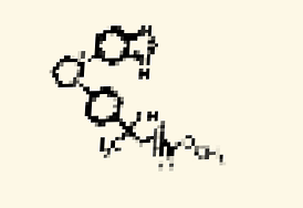 COC(=O)NCC(C)(C)c1ccc(N2CCC[C@@H]2c2ccc3nc[nH]c3c2)cc1